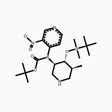 C[C@H]1CNC[C@@H](N(C(=O)OC(C)(C)C)c2ccncc2[N+](=O)[O-])[C@@H]1O[Si](C)(C)C(C)(C)C